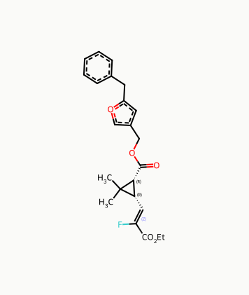 CCOC(=O)/C(F)=C/[C@H]1[C@@H](C(=O)OCc2coc(Cc3ccccc3)c2)C1(C)C